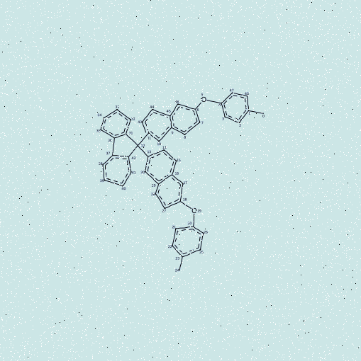 Cc1ccc(Oc2ccc3cc(C4(c5ccc6cc(Oc7ccc(C)cc7)ccc6c5)c5ccccc5-c5ccccc54)ccc3c2)cc1